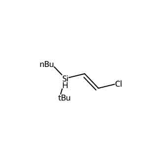 CCCC[SiH](C=CCl)C(C)(C)C